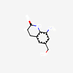 Nc1cc(CO)cc2c1NC(=O)CC2